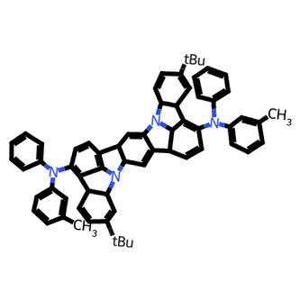 Cc1cccc(N(C2=C3C4C=C(C(C)(C)C)C=CC4N4C5=CC6c7ccc(N(c8ccccc8)c8cccc(C)c8)c8c7N(C6C=C5C(C=C2)C34)C2C=C(C(C)(C)C)C=CC82)c2ccccc2)c1